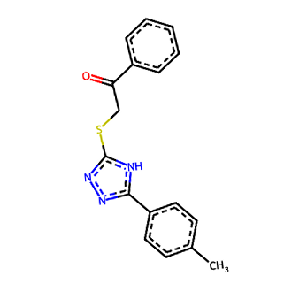 Cc1ccc(-c2nnc(SCC(=O)c3ccccc3)[nH]2)cc1